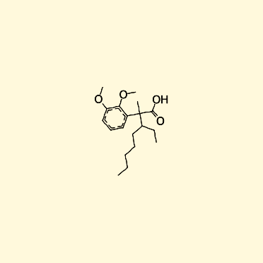 CCCCCC(CC)C(C)(C(=O)O)c1cccc(OC)c1OC